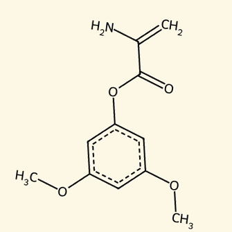 C=C(N)C(=O)Oc1cc(OC)cc(OC)c1